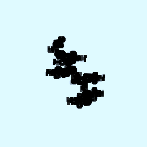 COc1ccc(Nc2ccc3c(O)c(N=Nc4ccc(N=Nc5c(OC)cc(N=Nc6cc(S(=O)(=O)O)c7cccc(S(=O)(=O)O)c7c6)c6cc(S(=O)(=O)O)ccc56)c5ccc(S(=O)(=O)O)cc45)c(S(=O)(=O)O)cc3c2)cc1